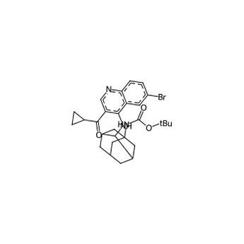 CC(C)(C)OC(=O)NC12CC3CC(C1)C(Nc1c(C(=O)C4CC4)cnc4ccc(Br)cc14)C(C3)C2